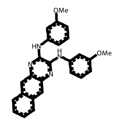 COc1cccc(Nc2nc3cc4ccccc4cc3nc2Nc2cccc(OC)c2)c1